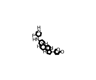 C[C@]12CC[C@H](NC3CCNC[C@@H]3F)C[C@H]1CC[C@@H]1[C@@H]2CC[C@]2(C)[C@@H](c3ccc(=O)oc3)CC[C@]12O